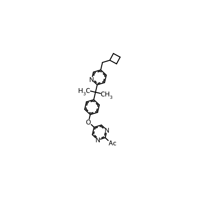 CC(=O)c1ncc(Oc2ccc(C(C)(C)c3ccc(CC4CCC4)cn3)cc2)cn1